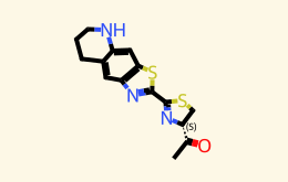 CC(=O)[C@H]1CSC(c2nc3cc4c(cc3s2)NCCC4)=N1